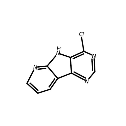 Clc1ncnc2c1[nH]c1ncccc12